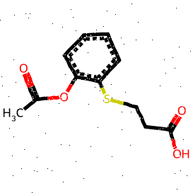 CC(=O)Oc1ccccc1SCCC(=O)O